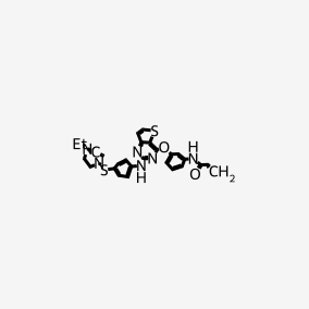 C=CC(=O)Nc1cccc(Oc2nc(Nc3ccc(SN4CCN(CC)CC4)cc3)nc3ccsc23)c1